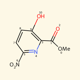 COC(=O)c1nc([N+](=O)[O-])ccc1O